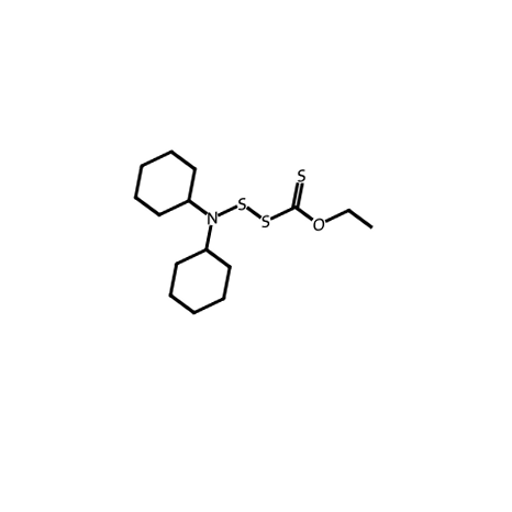 CCOC(=S)SSN(C1CCCCC1)C1CCCCC1